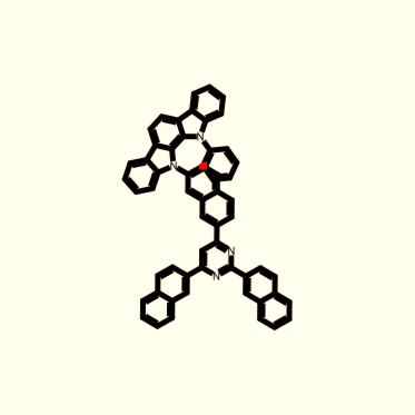 c1ccc(-n2c3ccccc3c3ccc4c5ccccc5n(-c5ccc6ccc(-c7cc(-c8ccc9ccccc9c8)nc(-c8ccc9ccccc9c8)n7)cc6c5)c4c32)cc1